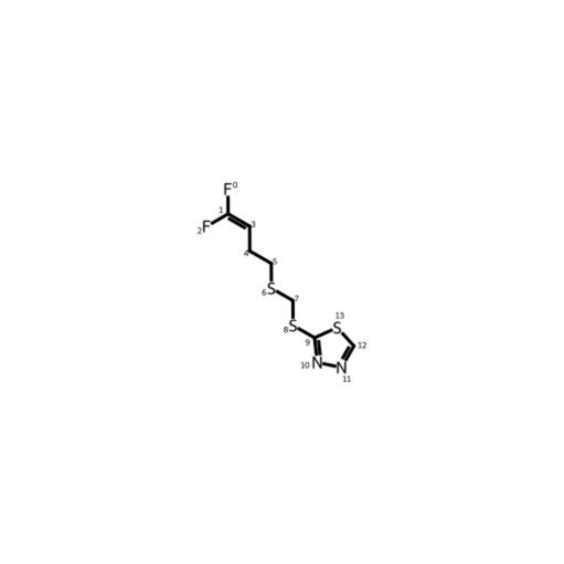 FC(F)=CCCSCSc1nncs1